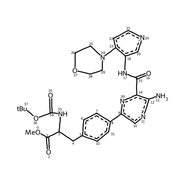 COC(=O)C(Cc1ccc(-c2cnc(N)c(C(=O)Nc3cnccc3N3CCOCC3)n2)cc1)NC(=O)OC(C)(C)C